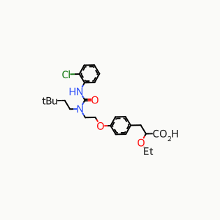 CCOC(Cc1ccc(OCCN(CCC(C)(C)C)C(=O)Nc2ccccc2Cl)cc1)C(=O)O